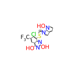 OC[C@@H](CSc1c(Cl)c(C(F)(F)F)cc2c(O)nc(O)nc12)n1ccc2cccnc21